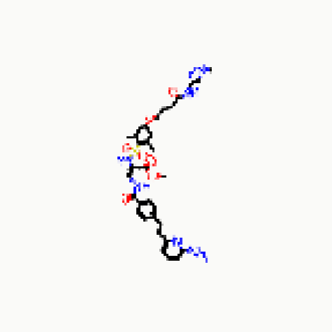 CNCCNC(=O)CCCOc1cc(C)c(S(=O)(=O)NC(CNC(=O)c2ccc(CCc3cccc(N)n3)cc2)C(=O)OC)c(C)c1